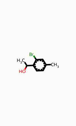 Cc1ccc(C(C)O)c(Br)c1